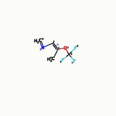 C=N/C=C(\C)OC(F)(F)F